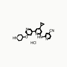 Cl.N#Cc1ccnc(Nc2cc(C3CC3)cc(-c3cncc(OC4CCNCC4)c3)n2)c1